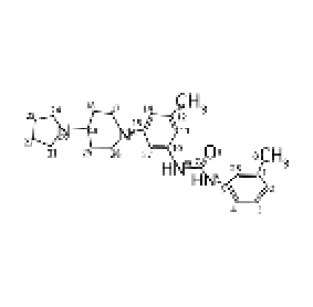 Cc1cccc(NC(=O)Nc2cc(C)cc(N3CCC(N4CCCC4)CC3)c2)c1